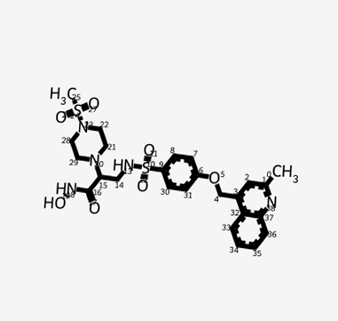 Cc1cc(COc2ccc(S(=O)(=O)NCC(C(=O)NO)N3CCN(S(C)(=O)=O)CC3)cc2)c2ccccc2n1